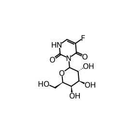 O=c1[nH]cc(F)c(=O)n1C1O[C@H](CO)[C@H](O)[C@H](O)[C@H]1O